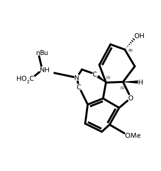 CCCCNC(=O)O.COc1ccc2c3c1O[C@H]1C[C@@H](O)C=C[C@@]31CCN(C)C2